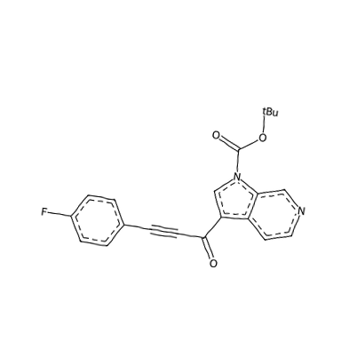 CC(C)(C)OC(=O)n1cc(C(=O)C#Cc2ccc(F)cc2)c2ccncc21